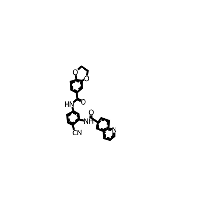 N#Cc1ccc(NC(=O)c2ccc3c(c2)OCCO3)cc1NC(=O)c1ccc2ncccc2c1